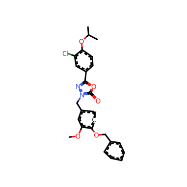 COc1cc(Cn2nc(-c3ccc(OC(C)C)c(Cl)c3)oc2=O)ccc1OCc1ccccc1